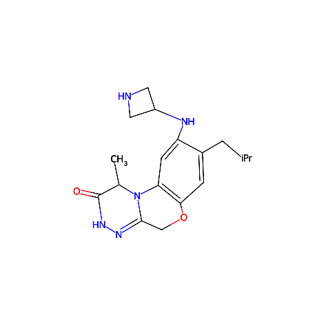 CC(C)Cc1cc2c(cc1NC1CNC1)N1C(=NNC(=O)C1C)CO2